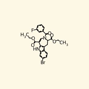 CCOC(=O)C1=CN(C(=O)c2cccc(F)c2)C(C(=O)OCC)Cc2c1[nH]c1cc(Br)ccc21